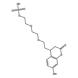 O=C1CC(CCOCCOCCOS(=O)(=O)O)c2ccc(O)cc2O1